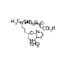 CN(C)CCCC1CN(C)C(=O)c2cccnc2O1.O.O=C(O)C=CC(=O)O